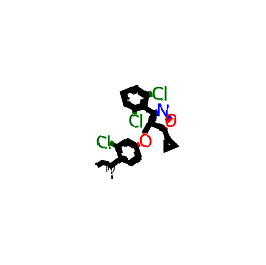 CC[C@@H](C)c1ccc(OCc2c(-c3c(Cl)cccc3Cl)noc2C2CC2)cc1Cl